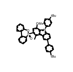 COc1cc(P2(=O)Oc3ccccc3-c3ccccc32)c(C)c2c3cc(-c4ccc(C(C)(C)C)cc4)ccc3n(-c3ccc(C(C)(C)C)cc3)c12